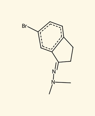 CN(C)N=C1CCc2ccc(Br)cc21